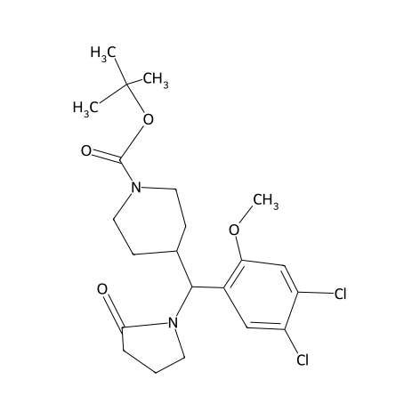 COc1cc(Cl)c(Cl)cc1C(C1CCN(C(=O)OC(C)(C)C)CC1)N1CCCC1=O